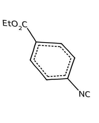 [C-]#[N+]c1ccc(C(=O)OCC)cc1